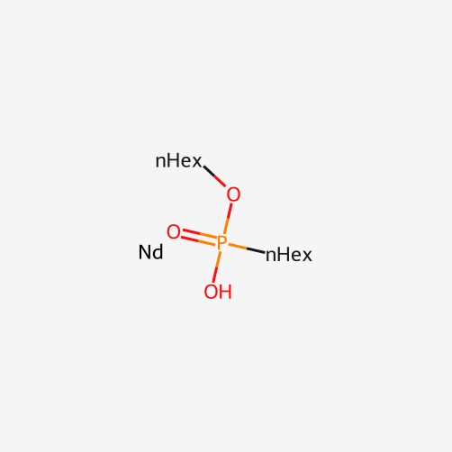 CCCCCCOP(=O)(O)CCCCCC.[Nd]